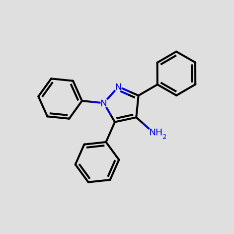 Nc1c(-c2ccccc2)nn(-c2ccccc2)c1-c1ccccc1